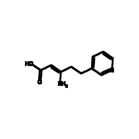 NC(=CC(=O)O)CCc1cccnc1